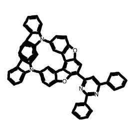 c1ccc(-c2cc(-c3cc4oc5ccc(-n6c7ccccc7c7ccccc76)cc5c4c4c3oc3ccc(-n5c6ccccc6c6ccccc65)cc34)nc(-c3ccccc3)n2)cc1